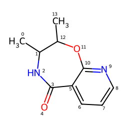 CC1NC(=O)c2cccnc2OC1C